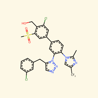 Cc1nc(C(F)(F)F)cn1-c1ccc(-c2cc(Cl)c(CO)c(S(C)(=O)=O)c2)cc1-n1nncc1Cc1cccc(Cl)c1